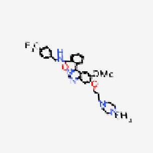 COc1cc2c(-c3ccccc3C(=O)NCc3ccc(C(F)(F)F)cc3)ncnc2cc1OCCCN1CCN(C)CC1